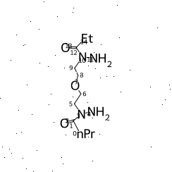 CCCC(=O)N(N)CCOCCN(N)C(=O)CC